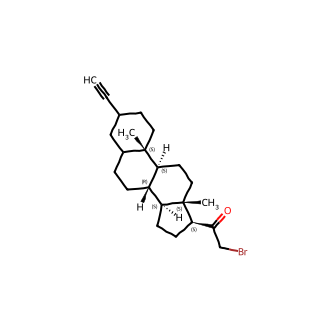 C#CC1CC[C@@]2(C)C(CC[C@H]3[C@@H]4CC[C@H](C(=O)CBr)[C@@]4(C)CC[C@@H]32)C1